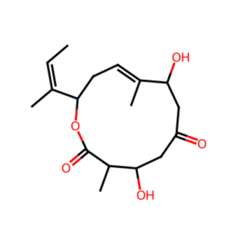 C/C=C(/C)C1C/C=C(\C)C(O)CC(=O)CC(O)C(C)C(=O)O1